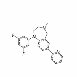 CN1CCN(c2cc(F)cc(F)c2)c2ccc(-c3ccccn3)cc2C1